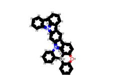 c1ccc2c(c1)Oc1ccc3c4cc5c6cccc7c8ccccc8n(c5cc4n4c3c1B2c1ccccc1-4)c76